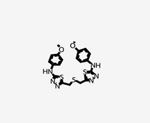 COc1ccc(Nc2nnc(CSCc3nnc(Nc4ccc(OC)cc4)s3)s2)cc1